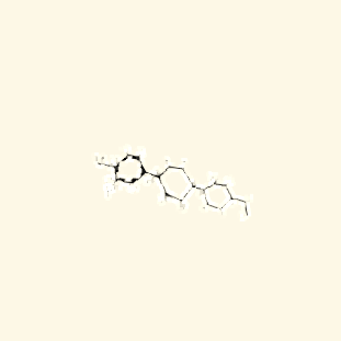 CCC1CCC(C2CCC(c3ccc(C)c(F)c3)CC2)CC1